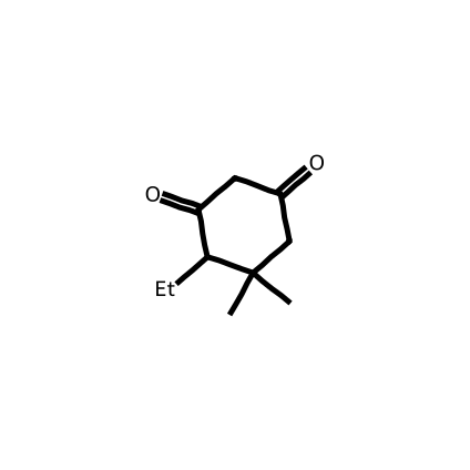 [CH2]CC1C(=O)CC(=O)CC1(C)C